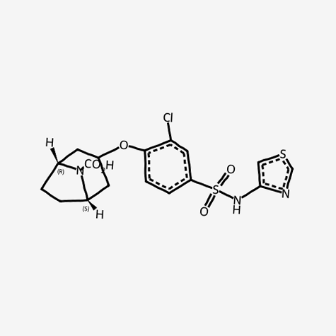 O=C(O)N1[C@@H]2CC[C@H]1CC(Oc1ccc(S(=O)(=O)Nc3cscn3)cc1Cl)C2